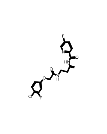 C=C(CCNC(=O)COc1ccc(Cl)c(F)c1)NC(=O)c1ccc(F)cn1